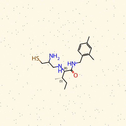 CC[C@H](C)[C@@H](NCC(N)CS)C(=O)NCc1ccc(C)cc1C